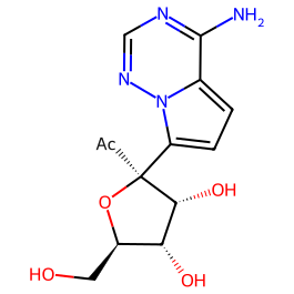 CC(=O)[C@@]1(c2ccc3c(N)ncnn23)O[C@H](CO)[C@@H](O)[C@H]1O